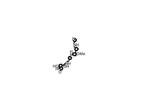 COc1ccc(Nc2ccc(CCNC[C@H](O)c3ccc(O)c4[nH]c(=O)ccc34)cc2)cc1-c1cccc(CNCc2cccnc2)c1